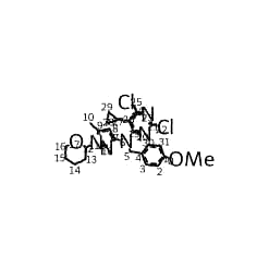 COc1ccc(CN(c2cc(C)n(C3CCCCO3)n2)c2nc(Cl)nc(Cl)c2C2CC2)cc1